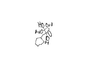 OC1COC(O)(CC2CCCCC2)C1(O)O